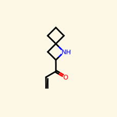 C=CC(=O)C1CC2(CCC2)N1